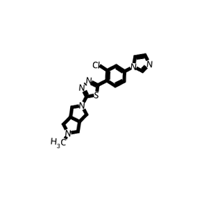 CN1CC2CN(c3nnc(-c4ccc(-n5ccnc5)cc4Cl)s3)CC2C1